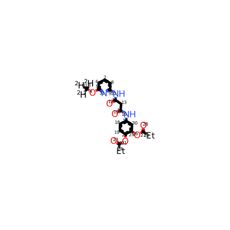 [2H]C([2H])([2H])Oc1cccc(NC(=O)CC(=O)Nc2ccc(OC(=O)CC)c(OC(=O)CC)c2)n1